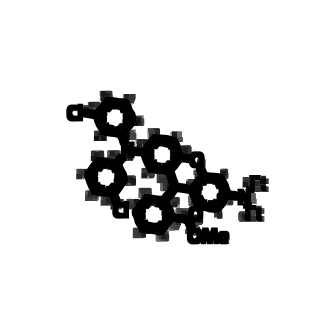 CCN(CC)c1ccc2c(c1)Oc1ccc(N(c3cccc(Cl)c3)c3cccc(Cl)c3)cc1C2c1ccccc1C(=O)OC